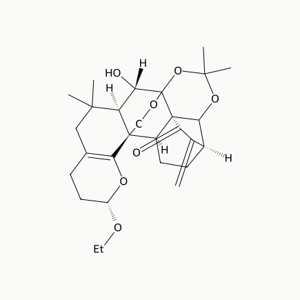 C=C1C(=O)[C@@]23C4OC(C)(C)OC25OC[C@]2(C6=C(CC[C@@H](OCC)O6)CC(C)(C)[C@H]2[C@@H]5O)[C@@H]3CC[C@@H]14